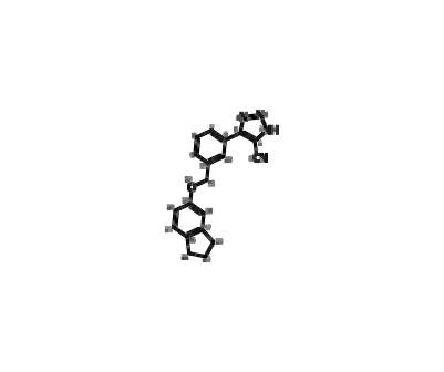 N#Cc1[nH]nnc1-c1cccc(COc2ccc3c(c2)CCC3)c1